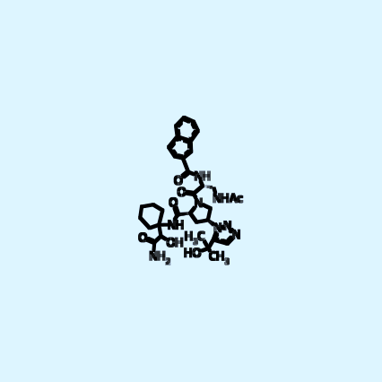 CC(=O)NC[C@@H](NC(=O)c1ccc2ccccc2c1)C(=O)N1C[C@@H](n2nncc2C(C)(C)O)C[C@H]1C(=O)NC1(C(O)C(N)=O)CCCCC1